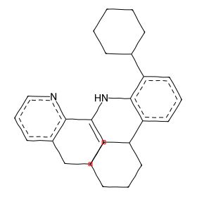 C1=C(Nc2c(C3CCCCC3)cccc2C2CCCCC2)c2ncccc2CC1